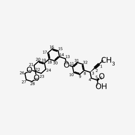 CC#C[C@@H](CC(=O)O)c1ccc(OCc2cccc(C3=CCC4(CC3)OCCCO4)c2)cc1